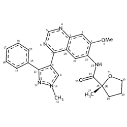 COc1cc2ncnc(-c3cn(C)nc3-c3ccccc3)c2cc1NC(=O)[C@@]1(C)CCCO1